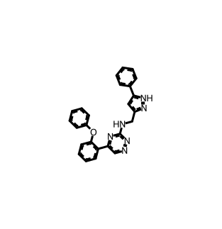 c1ccc(Oc2ccccc2-c2cnnc(NCc3cc(-c4ccccc4)[nH]n3)n2)cc1